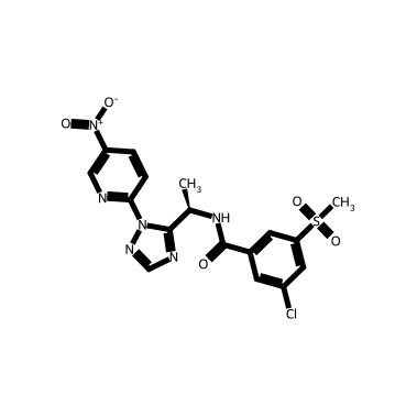 C[C@@H](NC(=O)c1cc(Cl)cc(S(C)(=O)=O)c1)c1ncnn1-c1ccc([N+](=O)[O-])cn1